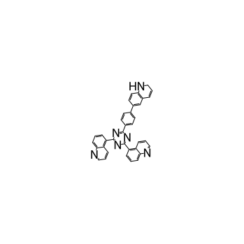 C1=Cc2cc(-c3ccc(-c4nc(-c5cccc6ncccc56)nc(-c5cccc6ncccc56)n4)cc3)ccc2NC1